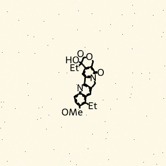 CCc1c(OC)ccc2nc3c(cc12)Cn1c-3cc2c(c1=O)COC(=O)C2(O)CC